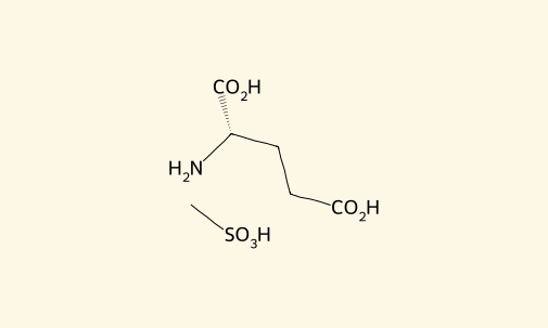 CS(=O)(=O)O.N[C@@H](CCC(=O)O)C(=O)O